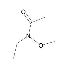 CCN(OC)C(C)=O